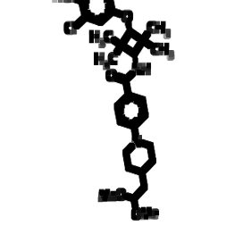 COC(CC1CCN(c2ccc(C(=O)N[C@H]3C(C)(C)[C@H](Oc4ccc(C#N)c(Cl)c4)C3(C)C)cc2)CC1)OC